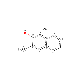 O=C(O)c1cc2ccccc2cc1O.[Zn]